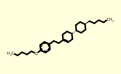 CCCCCOc1ccc(CCC2=CCC([C@H]3CC[C@H](CCCCC)CC3)CC2)cc1